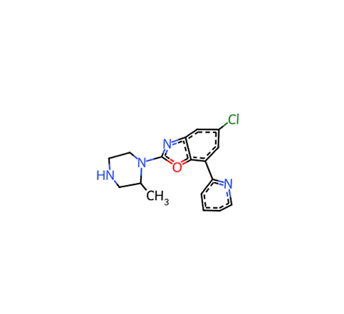 CC1CNCCN1c1nc2cc(Cl)cc(-c3ccccn3)c2o1